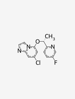 C[C@@H](Oc1cc(Cl)cc2nccn12)c1ccc(F)cn1